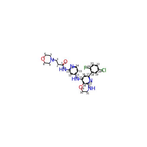 O=C(CCN1CCOCC1)Nc1cc(Nc2cc(-c3cc(Cl)ccc3F)nc3c2OCCN3)ccn1